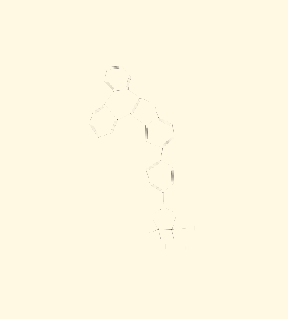 CC1(C)OB(c2ccc(-c3ccc4sc5c6ccccc6c6ccccc6c5c4c3)cc2)OC1(C)C